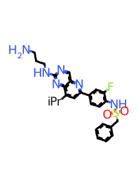 CC(C)c1cc(-c2ccc(NS(=O)(=O)Cc3ccccc3)c(F)c2)nc2cnc(NCCCN)nc12